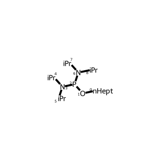 CCCCCCCOP(N(C(C)C)C(C)C)N(C(C)C)C(C)C